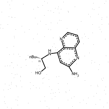 CCCC[C@@H](CO)Nc1cc(N)nc2cccnc12